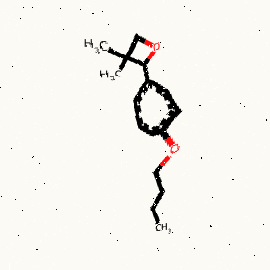 CCCCOc1ccc(C2OCC2(C)C)cc1